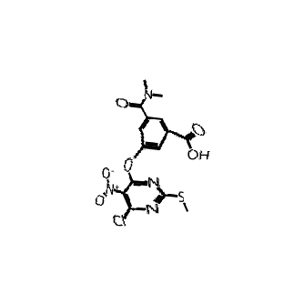 CSc1nc(Cl)c([N+](=O)[O-])c(Oc2cc(C(=O)O)cc(C(=O)N(C)C)c2)n1